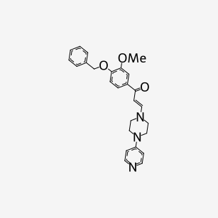 COc1cc(C(=O)C=CN2CCN(c3ccncc3)CC2)ccc1OCc1ccccc1